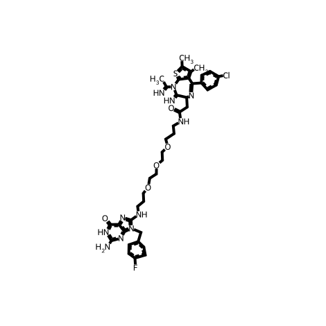 CC(=N)N1C(=N)C(CC(=O)NCCCOCCOCCOCCCNc2nc3c(=O)[nH]c(N)nc3n2Cc2ccc(F)cc2)N=C(c2ccc(Cl)cc2)c2c1sc(C)c2C